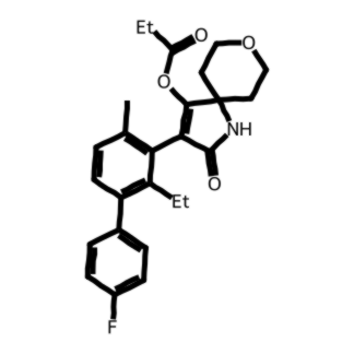 CCC(=O)OC1=C(c2c(C)ccc(-c3ccc(F)cc3)c2CC)C(=O)NC12CCOCC2